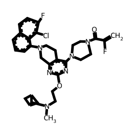 C=C(F)C(=O)N1CCN(c2nc(OCCN(C)C3C4CC3C4)nc3c2CCN(c2cccc4ccc(F)c(Cl)c24)C3)CC1